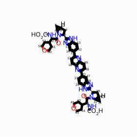 O=C(O)N[C@@H](C(=O)N1C2C[C@@H]2C[C@H]1c1nc2cc(-c3ccc4nc(-c5ccc6[nH]c([C@@H]7C[C@H]8CC8N7C(=O)[C@H](NC(=O)O)C7CCOCC7)nc6c5)ccc4n3)ccc2[nH]1)C1CCOCC1